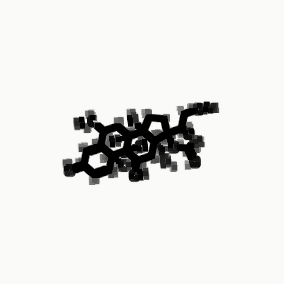 CCC(=O)O[C@]1(C(=O)COC(C)=O)CC[C@H]2[C@@H]3CC(C)C4=CC(=O)C=C[C@]4(C)[C@@]3(Cl)C(O)C[C@@]21C